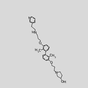 Cc1c(OCCCNCCc2cccnc2)cccc1-c1cccc(OCCCN2CCC(O)C2)c1C